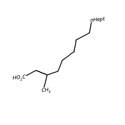 [CH2]CCCCCCCCCCCC(C)CC(=O)O